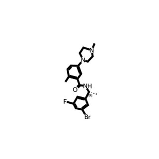 Cc1ccc(N2CCN(C)CC2)cc1C(=O)N[C@H](C)c1cc(F)cc(Br)c1